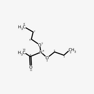 CCCON(OCCC)C(C)=O